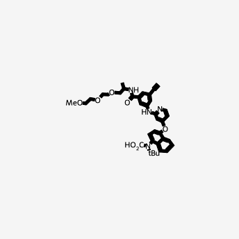 C#Cc1cc(Nc2cc(Oc3ccc(N(C(=O)O)C(C)(C)C)c4ccccc34)ccn2)cc(C(=O)NC(C)COCCOCCOC)c1